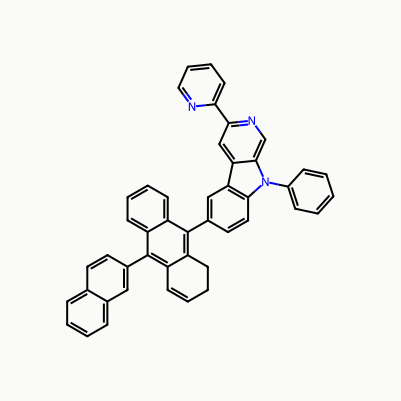 C1=Cc2c(c(-c3ccc4c(c3)c3cc(-c5ccccn5)ncc3n4-c3ccccc3)c3ccccc3c2-c2ccc3ccccc3c2)CC1